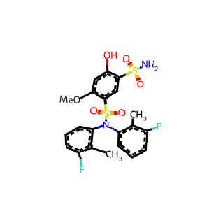 COc1cc(O)c(S(N)(=O)=O)cc1S(=O)(=O)N(c1cccc(F)c1C)c1cccc(F)c1C